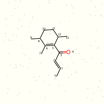 C/C=C/C(=O)C1=C(C)C(C)CCC1C